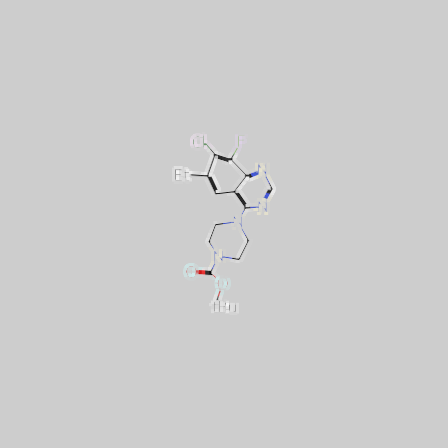 CCc1cc2c(N3CCN(C(=O)OC(C)(C)C)CC3)ncnc2c(F)c1Cl